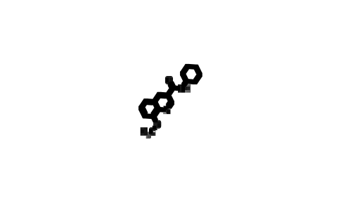 COc1cccc2cc(C(=O)NC3CCCCC3)cnc12